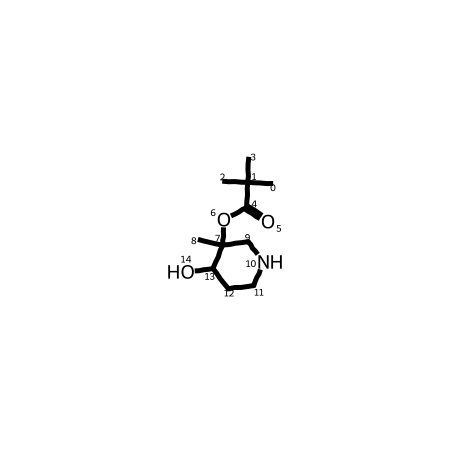 CC(C)(C)C(=O)OC1(C)CNCCC1O